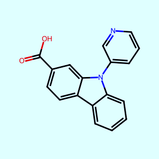 O=C(O)c1ccc2c3ccccc3n(-c3cccnc3)c2c1